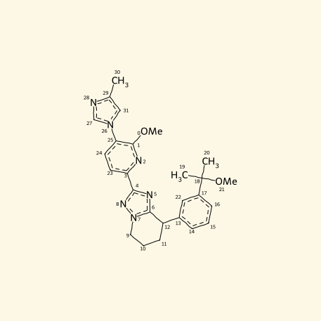 COc1nc(-c2nc3n(n2)CCCC3c2cccc(C(C)(C)OC)c2)ccc1-n1cnc(C)c1